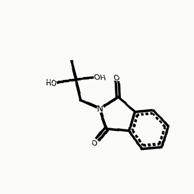 CC(O)(O)CN1C(=O)c2ccccc2C1=O